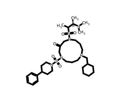 CC([C@@H](C)N(C)C)S(=O)(=O)N1CCCN(CC2CCCCC2)CCCN(S(=O)(=O)N2CCC(c3ccccc3)CC2)CC(=O)C1